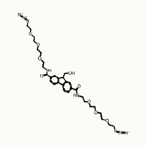 [N-]=[N+]=NCCOCCOCCOCCNC(=O)c1ccc2c(c1)C(CO)c1cc(C(=O)NCCOCCOCCOCCN=[N+]=[N-])ccc1-2